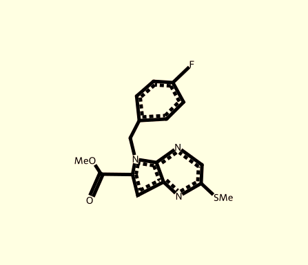 COC(=O)c1cc2nc(SC)cnc2n1Cc1ccc(F)cc1